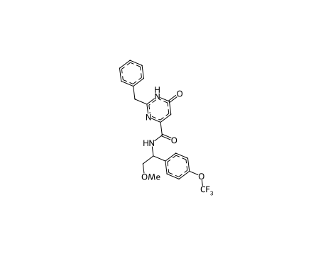 COCC(NC(=O)c1cc(=O)[nH]c(Cc2ccccc2)n1)c1ccc(OC(F)(F)F)cc1